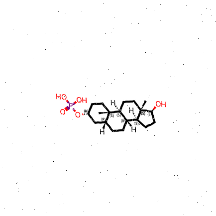 C[C@]12CC[C@@H](OP(=O)(O)O)C[C@H]1CC[C@@H]1[C@@H]2CC[C@]2(C)[C@@H](O)CC[C@@H]12